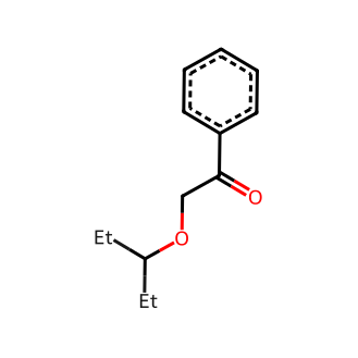 CCC(CC)OCC(=O)c1ccccc1